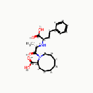 C[C@H](NC(CCc1ccccc1)C(=O)O)C(=O)N1CCCCCCC[C@H]1C(=O)O